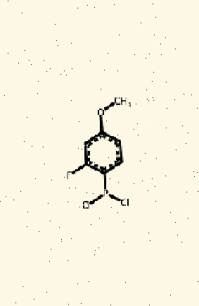 COc1ccc(P(Cl)Cl)c(F)c1